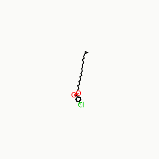 O=C(OCCCCCCCCCCCCCCCCCC1CC1)c1ccc(Cl)cc1